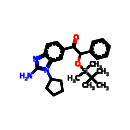 CC(C)(C)[Si](C)(C)OC(C(=O)c1ccc2nc(N)n(C3CCCC3)c2c1)c1ccccc1